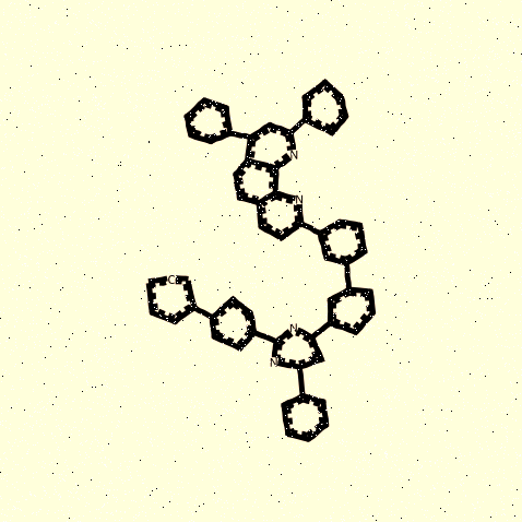 c1ccc(-c2ccc(-c3nc(-c4ccccc4)cc(-c4cccc(-c5cccc(-c6ccc7ccc8c(-c9ccccc9)cc(-c9ccccc9)nc8c7n6)c5)c4)n3)cc2)cc1